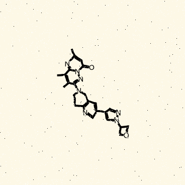 Cc1cc(=O)n2nc(N3CCc4ncc(-c5cnn(C6COC6)c5)cc4C3)c(C)c(C)c2n1